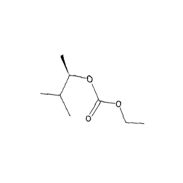 CCOC(=O)O[C@H](C)C(C)C